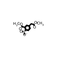 COC(=O)Cc1ccc([N+](=O)[O-])c(C(=O)OC)c1